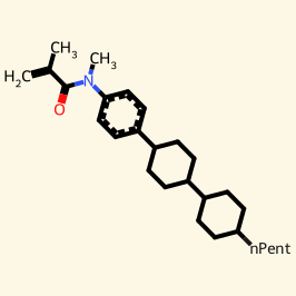 C=C(C)C(=O)N(C)c1ccc(C2CCC(C3CCC(CCCCC)CC3)CC2)cc1